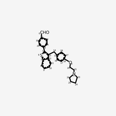 O=Cc1ccc(-c2sc3ccccc3c2Cc2ccc(OCCN3CCCC3)cc2)cc1